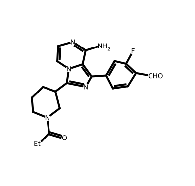 CCC(=O)N1CCCC(c2nc(-c3ccc(C=O)c(F)c3)c3c(N)nccn23)C1